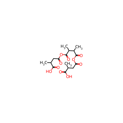 CC(CC(=O)OC(=O)C(C)C(C)C(=O)OC(=O)CC(C)C(=O)O)C(=O)O